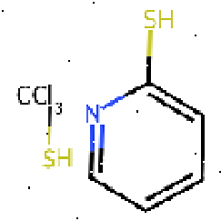 SC(Cl)(Cl)Cl.Sc1ccccn1